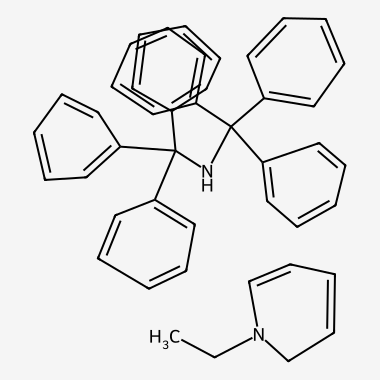 CCN1C=CC=CC1.c1ccc(C(NC(c2ccccc2)(c2ccccc2)c2ccccc2)(c2ccccc2)c2ccccc2)cc1